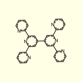 c1ccc(-c2cc(-c3cc(-c4ccccn4)nc(-c4ccccn4)c3)cc(-c3ccccn3)n2)nc1